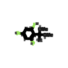 CC[Si](OC)(OC)c1c(F)cc(F)cc1F